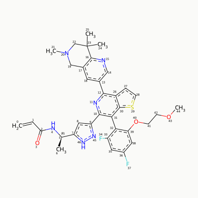 C=CC(=O)N[C@H](C)c1cc(-c2nc(-c3cnc4c(c3)CN(C)CC4(C)C)c3ccsc3c2-c2c(F)cc(F)cc2OCCOC)n[nH]1